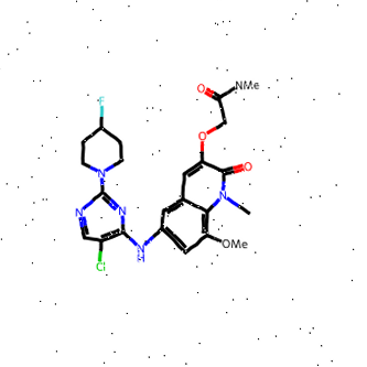 CNC(=O)COc1cc2cc(Nc3nc(N4CCC(F)CC4)ncc3Cl)cc(OC)c2n(C)c1=O